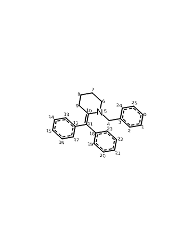 c1ccc(CN2CCCCC2=C(c2ccccc2)c2ccccc2)cc1